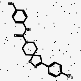 CC(C)(C)c1ccc(NC(=O)N2CCC3(CC2)CC(c2ccc(C(F)(F)F)cc2)=NO3)cc1